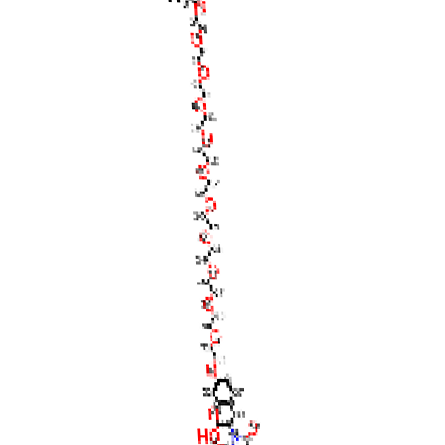 COCCOCCOCCOCCOCCOCCOCCOCCOCCOCCOCCOc1ccc(CC(C(=O)O)N2C(=O)C=CC2=O)cc1